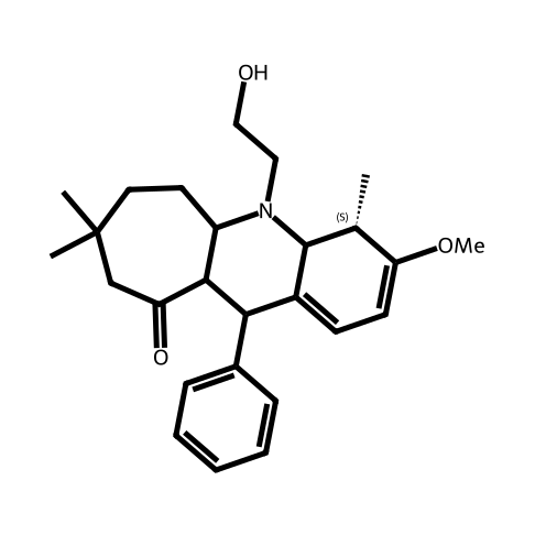 COC1=CC=C2C(c3ccccc3)C3C(=O)CC(C)(C)CCC3N(CCO)C2[C@@H]1C